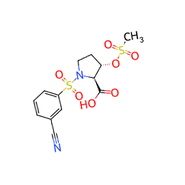 CS(=O)(=O)O[C@H]1CCN(S(=O)(=O)c2cccc(C#N)c2)[C@@H]1C(=O)O